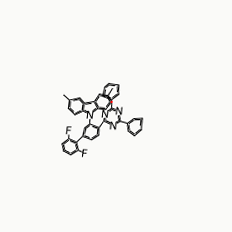 Cc1ccc2c(c1)c1cc(C)ccc1n2-c1cc(-c2c(F)cccc2F)ccc1-c1nc(-c2ccccc2)nc(-c2ccccc2)n1